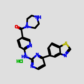 Cl.O=C(c1ccc(Nc2nccc(-c3ccc4scnc4c3)n2)nc1)N1CCNCC1